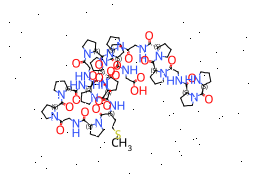 CSCC[C@H](NC(=O)CNC(=O)[C@@H]1CCCN1C(=O)[C@@H]1CCCN1C(=O)CNC(=O)[C@@H]1CCCN1C(=O)[C@@H]1CCCN1C(=O)CNC(=O)[C@@H]1CCCN1C(=O)[C@@H]1CCCN1)C(=O)N1CCC[C@H]1C(=O)NCC(=O)N1CCC[C@H]1C(=O)N1CCC[C@H]1C(=O)NCC(=O)N1CCC[C@H]1C(=O)N1CCC[C@H]1C(=O)NCC(=O)N1CCC[C@H]1C(=O)N1CCC[C@H]1C(=O)NCC(=O)O